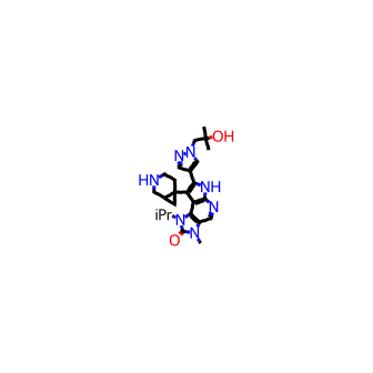 CC(C)n1c(=O)n(C)c2cnc3[nH]c(-c4cnn(CC(C)(C)O)c4)c(C45CCNCC4C5)c3c21